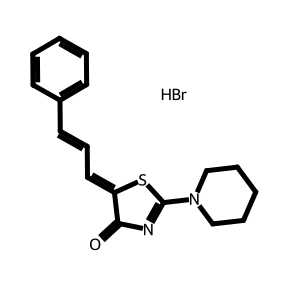 Br.O=C1N=C(N2CCCCC2)SC1=CC=Cc1ccccc1